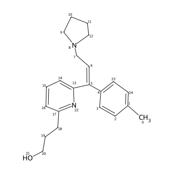 Cc1ccc(C(=CCN2CCCC2)c2cccc(CCCO)n2)cc1